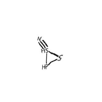 N#[SH]1PS1